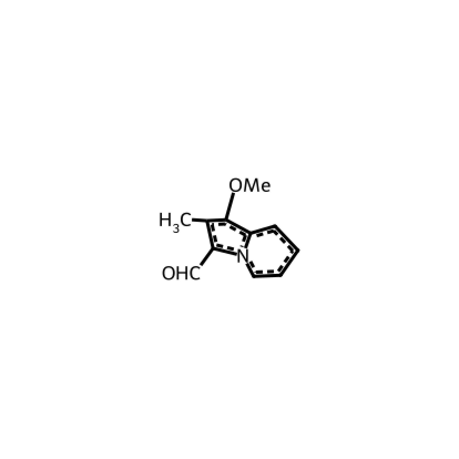 COc1c(C)c(C=O)n2ccccc12